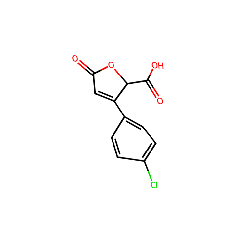 O=C1C=C(c2ccc(Cl)cc2)C(C(=O)O)O1